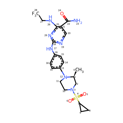 C[C@H]1CN(S(=O)(=O)C2CC2)CCN1c1ccc(Nc2ncc(C(N)=O)c(NCC(F)(F)F)n2)cc1